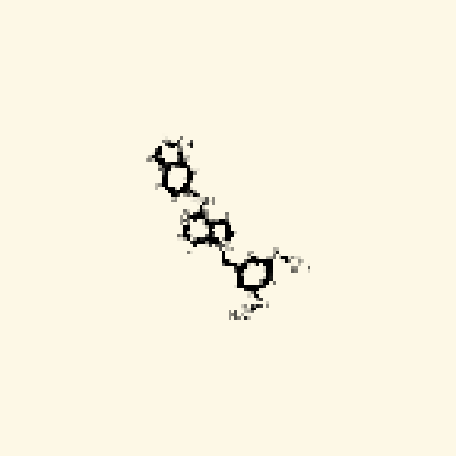 COc1cc(Cn2ccc3c(Nc4ccc5cn[nH]c5c4)ncnc32)cc(OC)c1